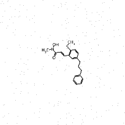 CSc1ccc(CCCc2ccccc2)cc1C=CC(=O)N(C)O